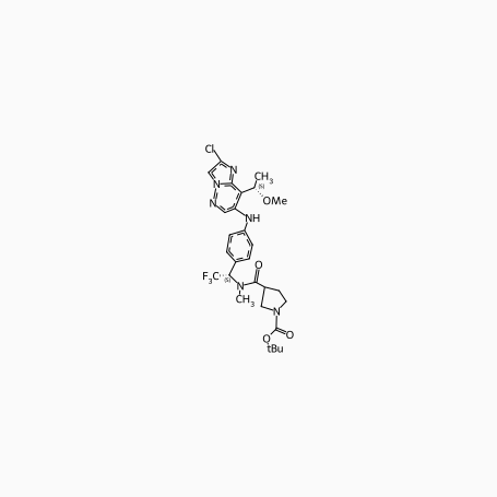 CO[C@@H](C)c1c(Nc2ccc([C@H](N(C)C(=O)C3CCN(C(=O)OC(C)(C)C)C3)C(F)(F)F)cc2)cnn2cc(Cl)nc12